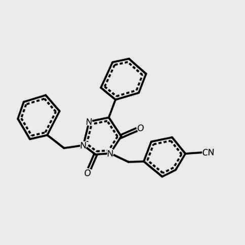 N#Cc1ccc(Cn2c(=O)c(-c3ccccc3)nn(Cc3ccccc3)c2=O)cc1